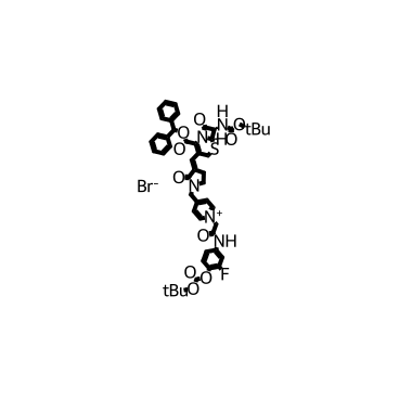 CC(C)(C)OC(=O)N[C@@H]1C(=O)N2C(C(=O)OC(c3ccccc3)c3ccccc3)=C(C=C3CCN(Cc4cc[n+](CC(=O)Nc5ccc(OC(=O)OC(C)(C)C)c(F)c5)cc4)C3=O)CS[C@H]12.[Br-]